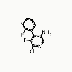 Nc1cnc(Cl)c(F)c1-c1cccnc1F